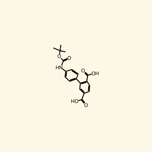 CC(C)(C)OC(=O)Nc1ccc(-c2cc(C(=O)O)ccc2C(=O)O)cc1